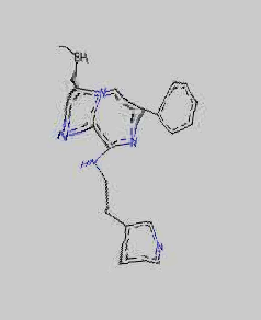 CBc1cnc2c(NCCc3cccnc3)nc(-c3ccccc3)cn12